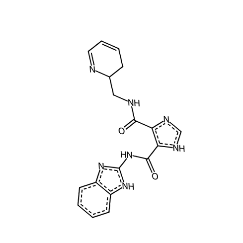 O=C(NCC1CC=CC=N1)c1nc[nH]c1C(=O)Nc1nc2ccccc2[nH]1